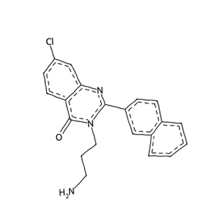 NCCCn1c(-c2ccc3ccccc3c2)nc2cc(Cl)ccc2c1=O